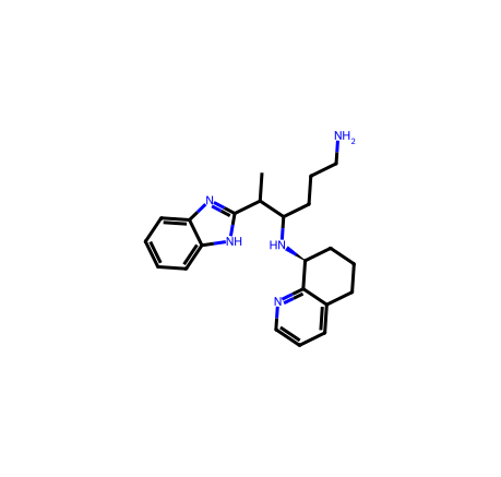 CC(c1nc2ccccc2[nH]1)C(CCCN)N[C@H]1CCCc2cccnc21